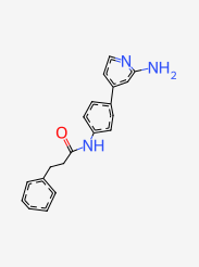 Nc1cc(-c2ccc(NC(=O)CCc3ccccc3)cc2)ccn1